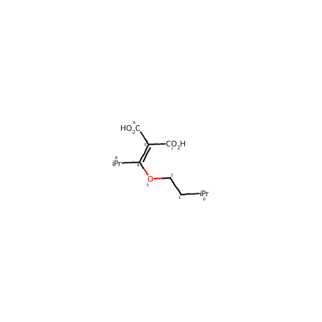 CC(C)CCOC(=C(C(=O)O)C(=O)O)C(C)C